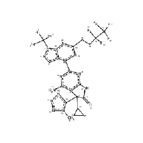 [2H]C([2H])([2H])n1ncc2c(-c3nc(N)c4c(n3)NC(=O)C4(c3nnnn3C)C3CC3)nc(CCC(F)(F)C(F)(F)F)nc21